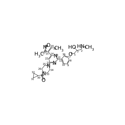 CNCC(O)COc1cccc(-c2nc(-c3c(C)noc3C)cc(N3CCN(C(=O)C4CC4)CC3)n2)c1